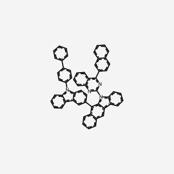 c1ccc(-c2ccc(-n3c4ccccc4c4cc(-c5c6ccccc6cc6c7ccccc7n(-c7nc(-c8ccc9ccccc9c8)c8ccccc8n7)c56)ccc43)cc2)cc1